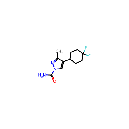 Cc1nn(C(N)=O)cc1C1CCC(F)(F)CC1